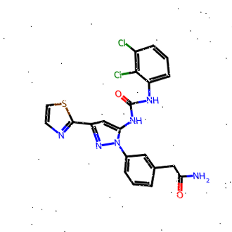 NC(=O)Cc1cccc(-n2nc(-c3nccs3)cc2NC(=O)Nc2cccc(Cl)c2Cl)c1